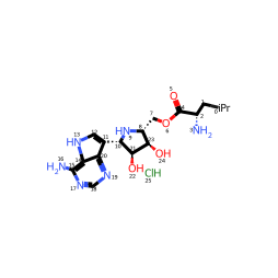 CC(C)C[C@H](N)C(=O)OC[C@H]1N[C@@H](c2c[nH]c3c(N)ncnc23)[C@H](O)[C@@H]1O.Cl